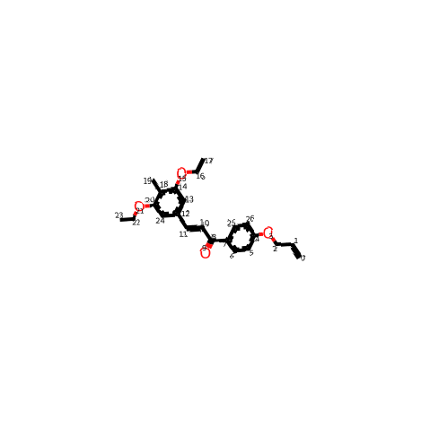 C=CCOc1ccc(C(=O)C=Cc2cc(OCC)c(C)c(OCC)c2)cc1